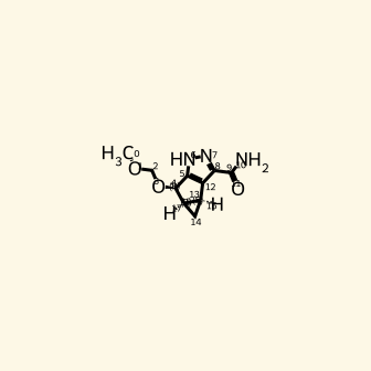 COCO[C@H]1c2[nH]nc(C(N)=O)c2[C@H]2C[C@H]21